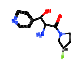 NC(C(=O)N1CC[C@H](F)C1)C(O)c1ccncc1